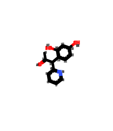 CC(=O)C(c1ccccn1)c1ccc(O)cc1O